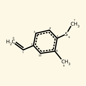 C=Cc1ccc(SC)c(C)c1